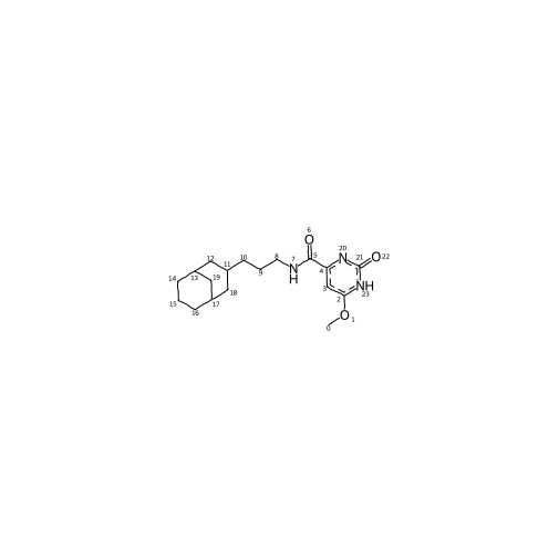 COc1cc(C(=O)NCCCC2CC3CCCC(C2)C3)nc(=O)[nH]1